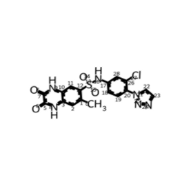 Cc1cc2[nH]c(=O)c(=O)[nH]c2cc1S(=O)(=O)Nc1ccc(-n2ccnn2)c(Cl)c1